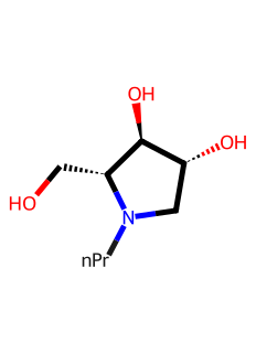 CCCN1C[C@@H](O)[C@H](O)[C@H]1CO